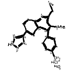 CNc1c(CC(C)C)nc2ccc(-c3nn[nH]n3)cc2c1-c1ccc(C)cc1.Cl.Cl